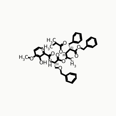 COc1ccnc(C(=O)N[C@@H](COCc2ccccc2)C(=O)OC(C)[C@H](OC(=O)C(C)C)[C@H](Cc2ccccc2)C(=O)OCc2ccccc2)c1O